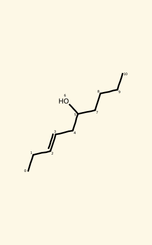 CCC=CCC(O)CCCC